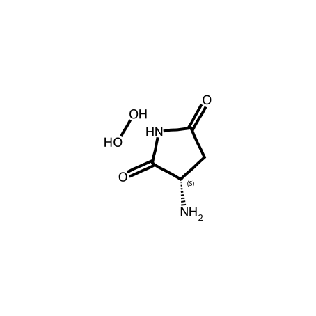 N[C@H]1CC(=O)NC1=O.OO